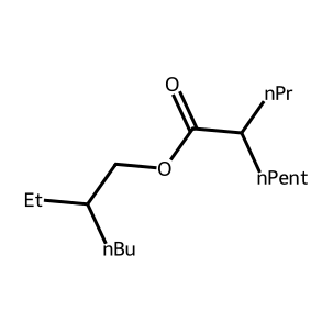 CCCCCC(CCC)C(=O)OCC(CC)CCCC